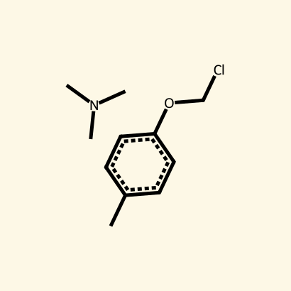 CN(C)C.Cc1ccc(OCCl)cc1